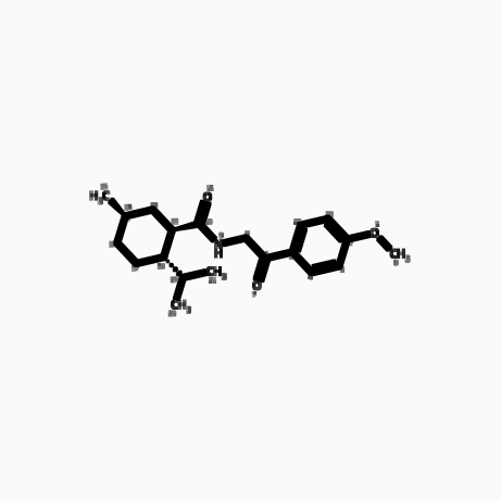 COc1ccc(C(=O)CNC(=O)[C@@H]2C[C@H](C)CC[C@H]2C(C)C)cc1